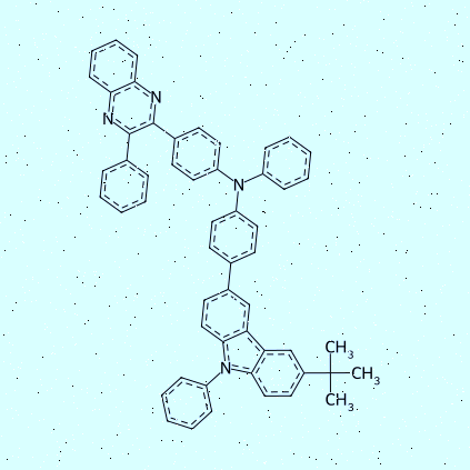 CC(C)(C)c1ccc2c(c1)c1cc(-c3ccc(N(c4ccccc4)c4ccc(-c5nc6ccccc6nc5-c5ccccc5)cc4)cc3)ccc1n2-c1ccccc1